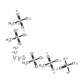 CS(=O)(=O)[O-].CS(=O)(=O)[O-].CS(=O)(=O)[O-].CS(=O)(=O)[O-].O=P([O-])(F)F.[Li+].[Li+].[Li+].[Li+].[Li+]